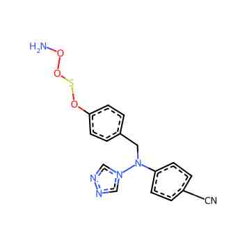 N#Cc1ccc(N(Cc2ccc(OSOON)cc2)n2cnnc2)cc1